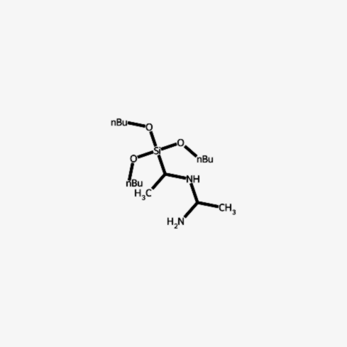 CCCCO[Si](OCCCC)(OCCCC)C(C)NC(C)N